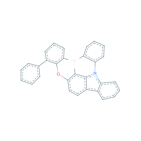 c1ccc(-c2cccc3c2Oc2ccc4c5ccccc5n5c4c2B3c2ccccc2-5)cc1